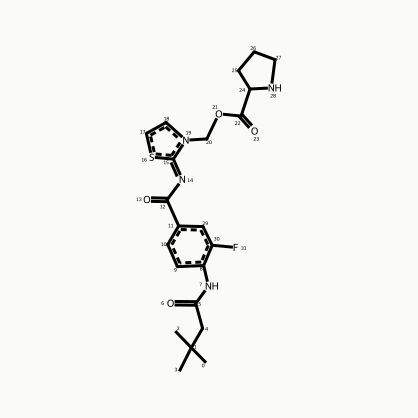 CC(C)(C)CC(=O)Nc1ccc(C(=O)/N=c2\sccn2COC(=O)C2CCCN2)cc1F